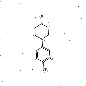 OC1CCN(c2ccc(C(F)(F)F)nc2)CC1